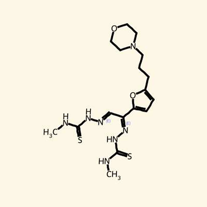 CNC(=S)N/N=C/C(=N\NC(=S)NC)c1ccc(CCCN2CCOCC2)o1